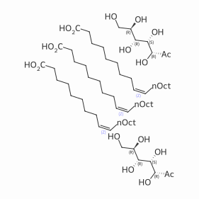 CC(=O)[C@H](O)[C@@H](O)[C@H](O)[C@H](O)CO.CC(=O)[C@H](O)[C@@H](O)[C@H](O)[C@H](O)CO.CCCCCCCC/C=C\CCCCCCCC(=O)O.CCCCCCCC/C=C\CCCCCCCC(=O)O.CCCCCCCC/C=C\CCCCCCCC(=O)O